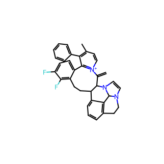 C=C1C2C(CCc3c(ccc(F)c3F)-c3c(-c4ccccc4)c(C)cc[n+]31)c1cccc3c1C1N(C=CN21)CC3